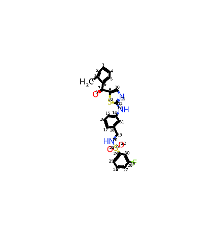 Cc1ccccc1C(=O)c1cnc(Nc2cccc(CNS(=O)(=O)c3cccc(F)c3)c2)s1